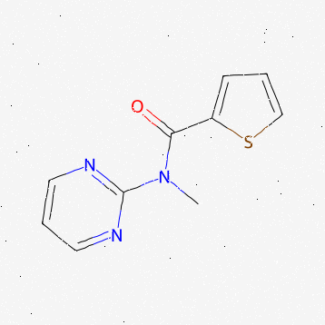 CN(C(=O)c1cccs1)c1ncccn1